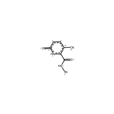 CC(C)NC(=O)c1[nH]c(=O)ccc1C#N